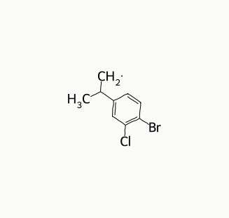 [CH2]C(C)c1ccc(Br)c(Cl)c1